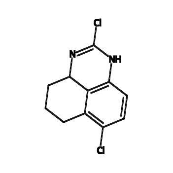 ClC1=NC2CCCc3c(Cl)ccc(c32)N1